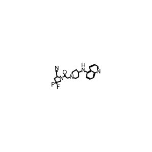 N#CC1CC(F)(F)CN1C(=O)CN1CCC(Nc2cccc3ncccc23)CC1